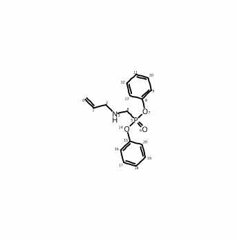 C=CCNCP(=O)(Oc1ccccc1)Oc1ccccc1